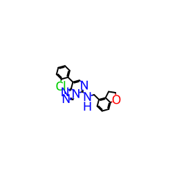 Clc1ccccc1-c1cnc(NCc2cccc3c2CCO3)n2cnnc12